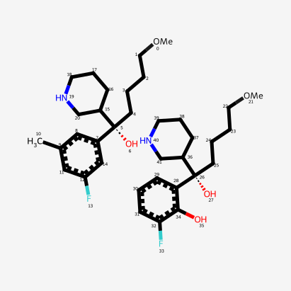 COCCCC[C@@](O)(c1cc(C)cc(F)c1)C1CCCNC1.COCCCC[C@@](O)(c1cccc(F)c1O)C1CCCNC1